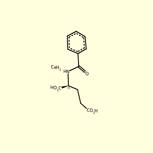 O=C(O)CC[C@H](NC(=O)c1ccccc1)C(=O)O.[CaH2]